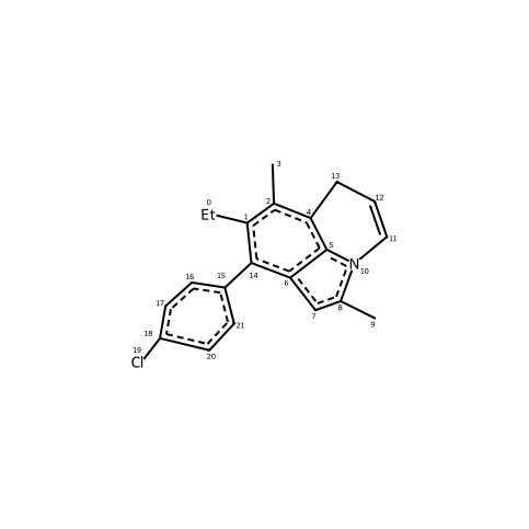 CCc1c(C)c2c3c(cc(C)n3C=CC2)c1-c1ccc(Cl)cc1